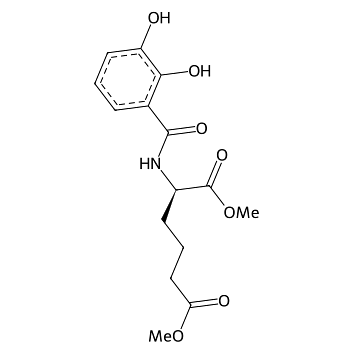 COC(=O)CCC[C@@H](NC(=O)c1cccc(O)c1O)C(=O)OC